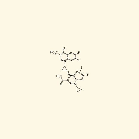 NC(=O)c1cn(C2CC2)c2cc(F)c(F)cc2c1=O.O=C(O)c1cn(C2CC2)c2cc(F)c(F)cc2c1=O